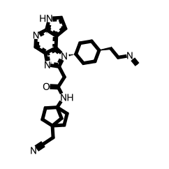 C=NCC[C@H]1CC[C@H](n2c(CC(=O)NC34CCC(CC#N)(CC3)C4)nc3cnc4[nH]ccc4c32)CC1